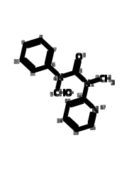 CN(C(=O)N([C]=O)c1ccccc1)c1ccccn1